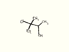 CCC(C)(Cl)C(C)O